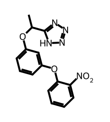 CC(Oc1cccc(Oc2ccccc2[N+](=O)[O-])c1)c1nnn[nH]1